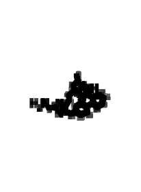 CCCCCCc1nc(CN)nn1Cc1ccc(-c2ccccc2-c2nnn[nH]2)cc1